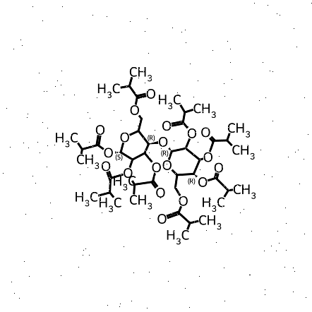 CC(C)C(=O)OCC1O[C@H](O[C@@H]2C(COC(=O)C(C)C)O[C@@H](OC(=O)C(C)C)C(OC(=O)C(C)C)C2OC(=O)C(C)C)C(OC(=O)C(C)C)C(OC(=O)C(C)C)[C@@H]1OC(=O)C(C)C